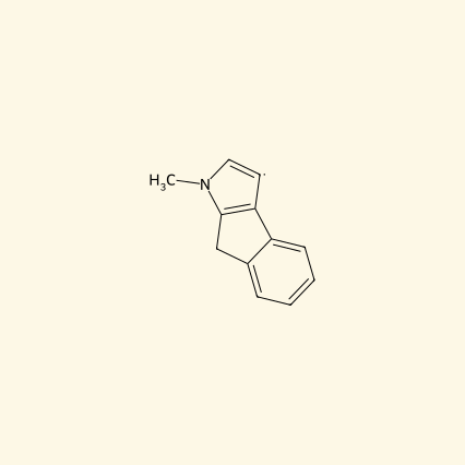 Cn1c[c]c2c1Cc1ccccc1-2